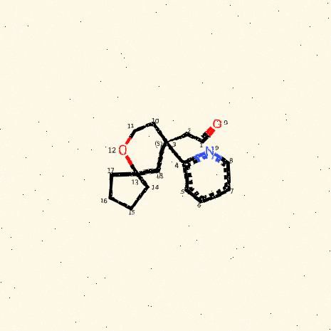 O=CC[C@]1(c2ccccn2)CCOC2(CCCC2)C1